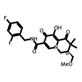 COC[C@H]1Cn2cc(C(=O)NCc3ccc(F)cc3F)c(=O)c(O)c2C(=O)C1(C)C